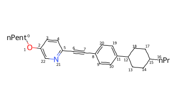 CCCCCOc1ccc(C#Cc2ccc(C3CCC(CCC)CC3)cc2)nc1